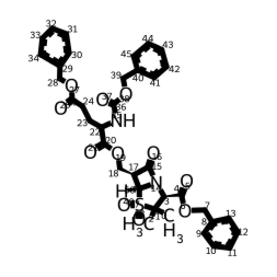 CC1(C)[C@H](C(=O)OCc2ccccc2)N2C(=O)[C@H](COC(=O)C(CCC(=O)OCc3ccccc3)NC(=O)OCc3ccccc3)[C@H]2S1(=O)=O